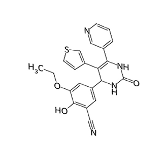 CCOc1cc(C2NC(=O)NC(c3cccnc3)=C2c2ccsc2)cc(C#N)c1O